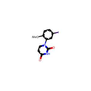 COc1ccc(I)cc1-n1ccc(=O)[nH]c1=O